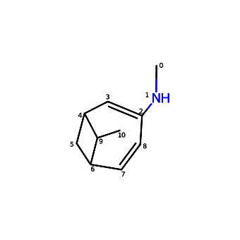 CNC1=CC2CC(C=C1)C2C